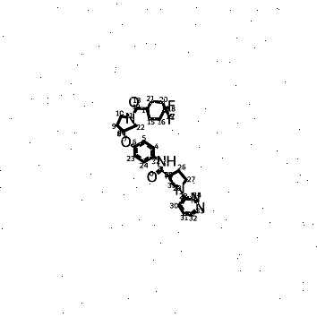 O=C(Nc1ccc(O[C@@H]2CCN(C(=O)C3CCC(F)(F)CC3)C2)cc1)[C@H]1CCN(c2cccnn2)C1